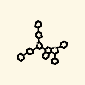 C1=C(c2ccccc2)c2c(cc(-c3cc(-c4ccc(-c5ccccc5)cc4)nc(-c4ccc(-c5ccccc5)cc4)c3)c3ccccc23)NC1c1ccccc1